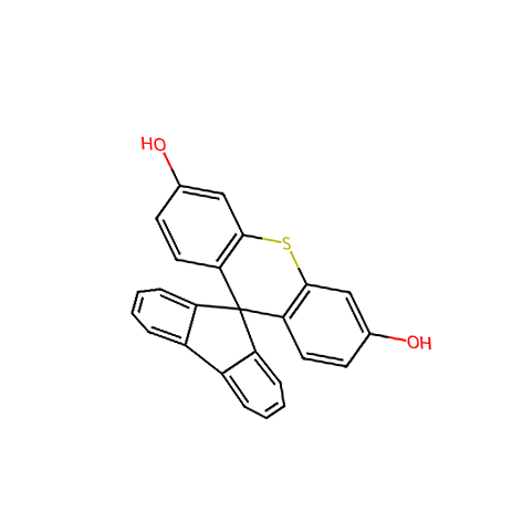 Oc1ccc2c(c1)Sc1cc(O)ccc1C21c2ccccc2-c2ccccc21